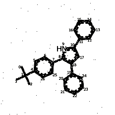 CC(C)(C)c1ccc(-c2[nH]c(-c3ccccc3)cc2-c2ccccc2)cc1